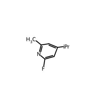 Cc1cc(C(C)C)cc(F)n1